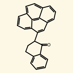 O=C1c2ccccc2CCC1c1cc2cccc3ccc4cccc1c4c32